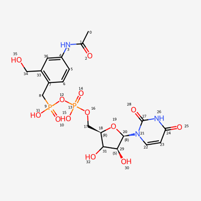 CC(=O)Nc1ccc(CP(=O)(O)OP(=O)(O)OC[C@H]2O[C@@H](n3ccc(=O)[nH]c3=O)[C@@H](O)C2O)c(CO)c1